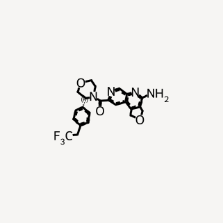 Nc1nc2cnc(C(=O)N3CCOC[C@H]3c3ccc(CC(F)(F)F)cc3)cc2c2c1COC2